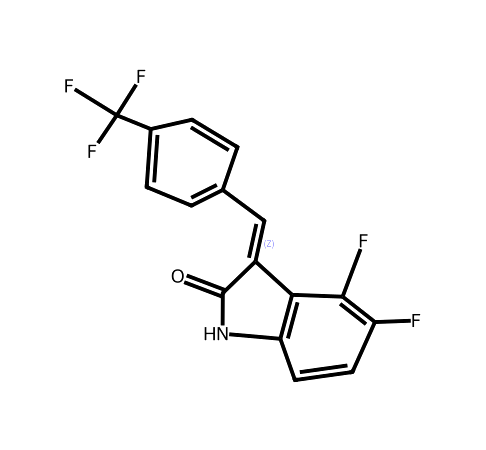 O=C1Nc2ccc(F)c(F)c2/C1=C/c1ccc(C(F)(F)F)cc1